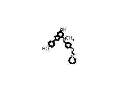 CN(Cc1ccc(OCCN2CCCCCC2)cc1)c1cc(O)cc2c1CC(c1ccc(O)cc1)C2